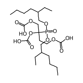 CCCCC(CC)COP(=O)(OCC(CC)CCCC)C(CCOC(=O)O)(COC(=O)O)OC(=O)O